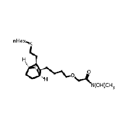 CCCCCCSCC[C@H]1[C@@H](CCCCOCC(=O)N(C)O)[C@H]2CC[C@@H]1O2